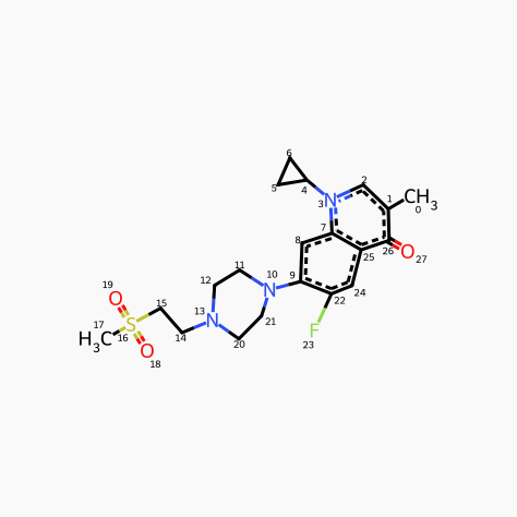 Cc1cn(C2CC2)c2cc(N3CCN(CCS(C)(=O)=O)CC3)c(F)cc2c1=O